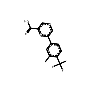 Cc1cc(-c2cncc(C(=O)O)n2)ccc1C(F)(F)F